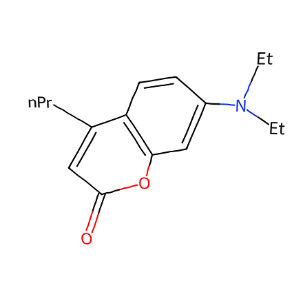 [CH2]CCc1cc(=O)oc2cc(N(CC)CC)ccc12